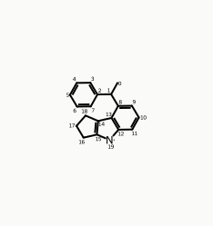 CC(c1ccccc1)c1cccc2c1C1=C(CCC1)[N]2